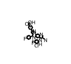 N#Cc1cnc2ccc(NC(c3ccc(F)cc3)c3cn(C4CCN(C(=O)O)CC4)nn3)cc2c1Nc1ccc(F)c(Cl)c1